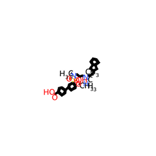 COc1ccc(-c2ccc(C(=O)O)cc2)cc1S(=O)(=O)N(C)C[C@H](O)CNC(C)(C)CC1Cc2ccccc2C1